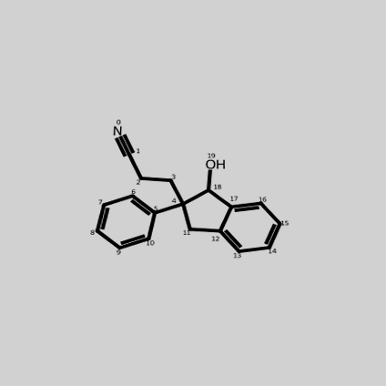 N#CCCC1(c2ccccc2)Cc2ccccc2C1O